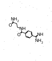 N=C(N)c1ccc(C(=O)NCCC(N)=O)cc1